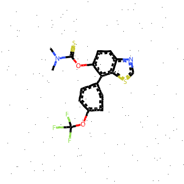 CN(C)C(=S)Oc1ccc2ncsc2c1-c1ccc(OC(F)(F)F)cc1